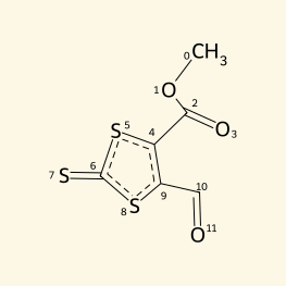 COC(=O)c1sc(=S)sc1C=O